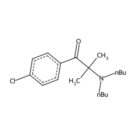 CCCCN(CCCC)C(C)(C)C(=O)c1ccc(Cl)cc1